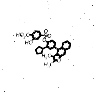 Cc1oc2cc3ccccc3c(-c3ccc(OS(=O)(=O)c4ccc(C(=O)O)c(O)c4)c(C4CCCC4)c3)c2c1C